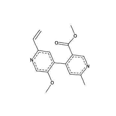 C=Cc1cc(-c2cc(C)ncc2C(=O)OC)c(OC)cn1